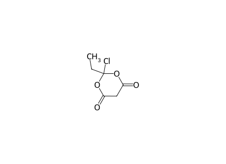 CCC1(Cl)OC(=O)CC(=O)O1